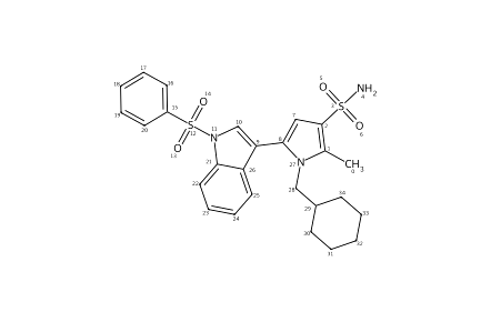 Cc1c(S(N)(=O)=O)cc(-c2cn(S(=O)(=O)c3ccccc3)c3ccccc23)n1CC1CCCCC1